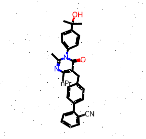 CCCc1nc(C)n(-c2ccc(C(C)(C)O)cc2)c(=O)c1Cc1ccc(-c2ccccc2C#N)cc1